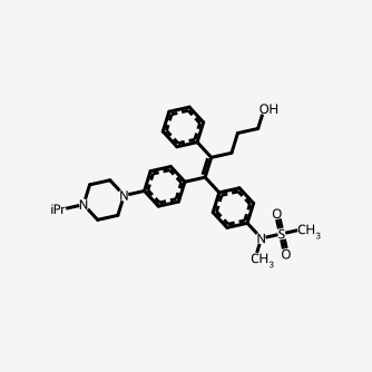 CC(C)N1CCN(c2ccc(/C(=C(/CCCO)c3ccccc3)c3ccc(N(C)S(C)(=O)=O)cc3)cc2)CC1